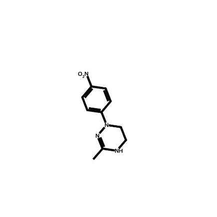 CC1=NN(c2ccc([N+](=O)[O-])cc2)CCN1